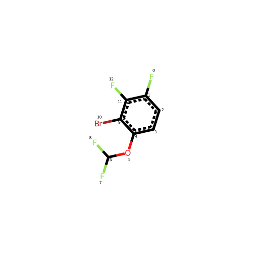 Fc1ccc(OC(F)F)c(Br)c1F